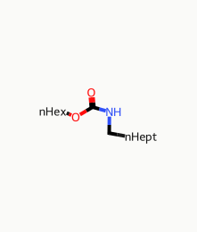 CCCCCCCCNC(=O)OCCCCCC